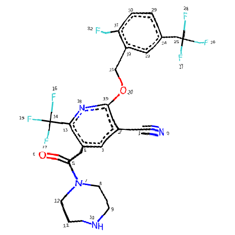 N#Cc1cc(C(=O)N2CCNCC2)c(C(F)(F)F)nc1OCc1cc(C(F)(F)F)ccc1F